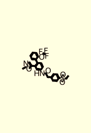 CCS(=O)(=O)c1ccc(CC(=O)Nc2ccc(-c3ccccc3OC(F)(F)F)c(-c3cnc(C)o3)c2)cc1